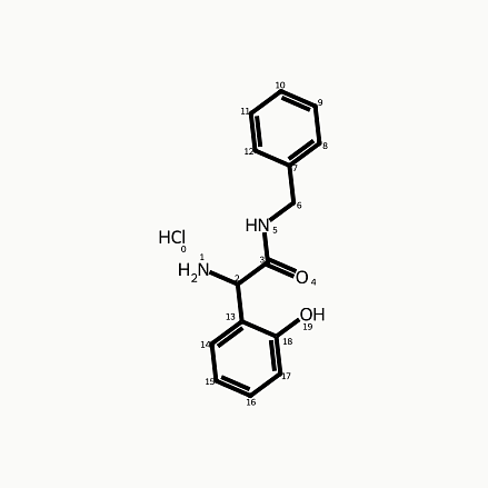 Cl.NC(C(=O)NCc1ccccc1)c1ccccc1O